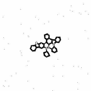 c1ccc(N2B3c4ccccc4-n4c5ccccc5c5c6ccccc6c(c3c54)-c3cc4oc5ccccc5c4cc32)cc1